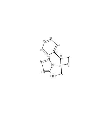 OC[C@]1(n2cncn2)OC[C@@H]1c1ccccc1